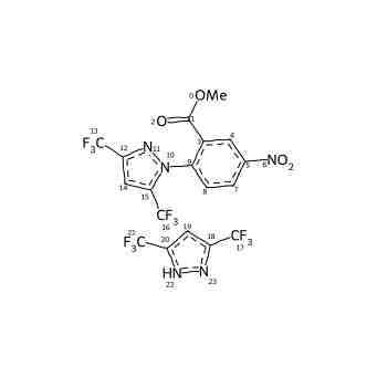 COC(=O)c1cc([N+](=O)[O-])ccc1-n1nc(C(F)(F)F)cc1C(F)(F)F.FC(F)(F)c1cc(C(F)(F)F)[nH]n1